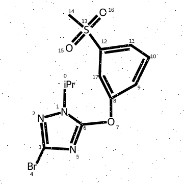 CC(C)n1nc(Br)nc1Oc1cccc(S(C)(=O)=O)c1